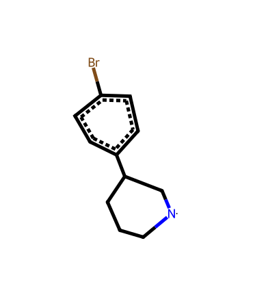 Brc1ccc(C2CCC[N]C2)cc1